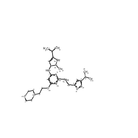 CC(C)C1=CC(Nc2cc(OCCN3CCOCC3)nc(NCc3cc(C(C)C)no3)n2)N(C)N1